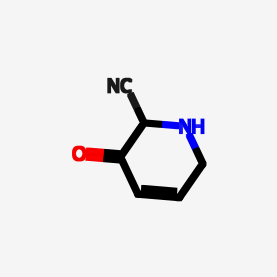 N#CC1NCC=CC1=O